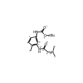 Cc1ccc(NC(=O)OC(C)(C)C)cc1NC(=O)CN(C)C